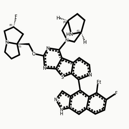 CCc1c(F)ccc2cc3[nH]ncc3c(-c3nccc4c3sc3nc(OC[C@@]56CCCN5C[C@H](F)C6)nc(N5C[C@H]6CC[C@@H](C5)N6)c34)c12